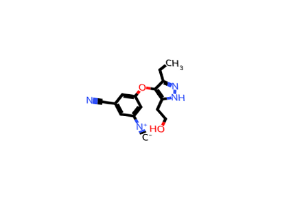 [C-]#[N+]c1cc(C#N)cc(Oc2c(CC)n[nH]c2CCO)c1